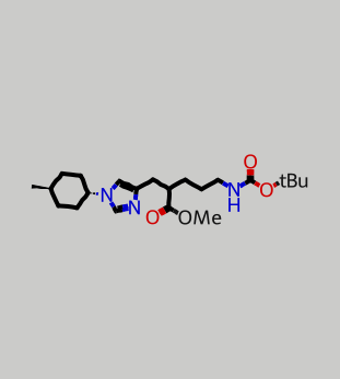 COC(=O)C(CCCNC(=O)OC(C)(C)C)Cc1cn([C@H]2CC[C@H](C)CC2)cn1